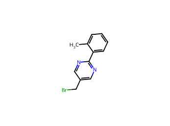 Cc1ccccc1-c1ncc(CBr)cn1